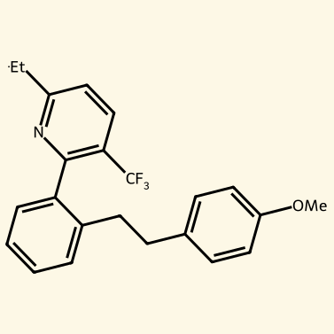 C[CH]c1ccc(C(F)(F)F)c(-c2ccccc2CCc2ccc(OC)cc2)n1